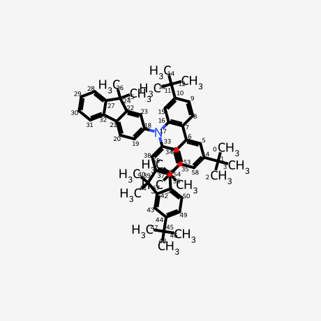 CC(C)(C)c1cc(-c2ccc(C(C)(C)C)cc2N(c2ccc3c(c2)C(C)(C)c2ccccc2-3)c2ccc3c(c2)C(C)(C)c2cc(C(C)(C)C)ccc2-3)cc(C(C)(C)C)c1